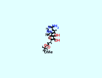 COCC(C)(C)OC(=O)CC[C@H]1O[C@@](C#N)(c2ccc3c(N)ncnn23)[C@H](O)[C@@H]1O